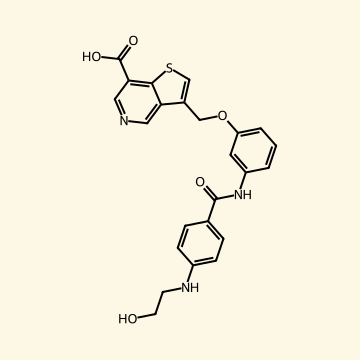 O=C(Nc1cccc(OCc2csc3c(C(=O)O)cncc23)c1)c1ccc(NCCO)cc1